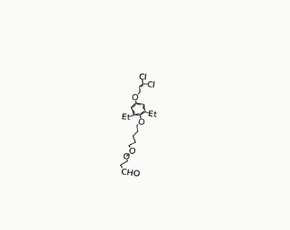 CCc1cc(OCC=C(Cl)Cl)cc(CC)c1OCCCCCOOCCC=O